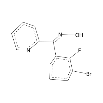 ON=C(c1ccccn1)c1cccc(Br)c1F